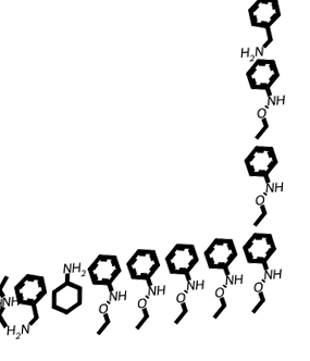 CCNCC.CCNCC.CCONc1ccccc1.CCONc1ccccc1.CCONc1ccccc1.CCONc1ccccc1.CCONc1ccccc1.CCONc1ccccc1.CCONc1ccccc1.NC1CCCCC1.NCc1ccccc1.NCc1ccccc1